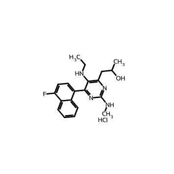 CCNc1c(CC(C)O)nc(NC)nc1-c1ccc(F)c2ccccc12.Cl